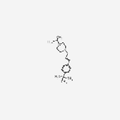 CC(C)N1CCN(C/C=C/c2ccc(C(C)(C)C)cc2)CC1